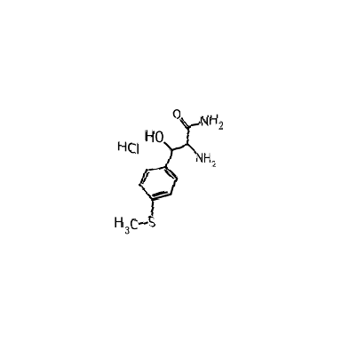 CSc1ccc(C(O)C(N)C(N)=O)cc1.Cl